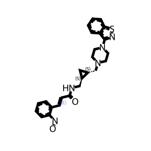 O=Nc1ccccc1/C=C/C(=O)NC[C@H]1C[C@@H]1CN1CCN(c2nsc3ccccc23)CC1